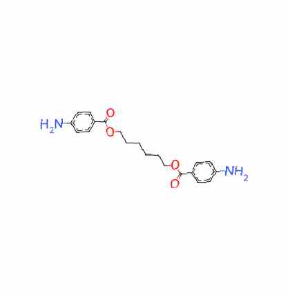 Nc1ccc(C(=O)OCCCCCCOC(=O)c2ccc(N)cc2)cc1